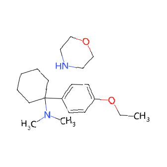 C1COCCN1.CCOc1ccc(C2(N(C)C)CCCCC2)cc1